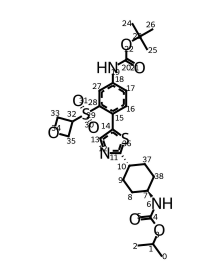 CC(C)OC(=O)N[C@H]1CC[C@H](c2ncc(-c3ccc(NC(=O)OC(C)(C)C)cc3S(=O)(=O)C3COC3)s2)CC1